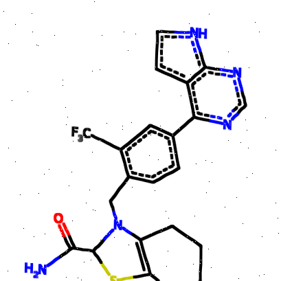 NC(=O)C1SC2=C(CCCC2)N1Cc1ccc(-c2ncnc3[nH]ccc23)cc1C(F)(F)F